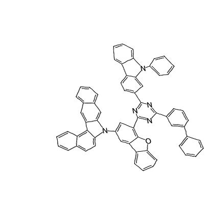 c1ccc(-c2cccc(-c3nc(-c4ccc5c6ccccc6n(-c6ccccc6)c5c4)nc(-c4cc(-n5c6cc7ccccc7cc6c6c7ccccc7ccc65)cc5c4oc4ccccc45)n3)c2)cc1